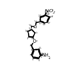 Nc1cccc(CO[C@H]2CC[C@@H](COCc3cccc([N+](=O)[O-])c3)C2)c1